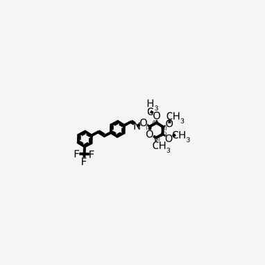 CO[C@@H]1[C@@H](OC)[C@H](C)O[C@@H](ON=Cc2ccc(C=Cc3cccc(C(F)(F)F)c3)cc2)[C@@H]1OC